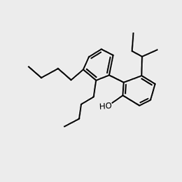 CCCCc1cccc(-c2c(O)cccc2C(C)CC)c1CCCC